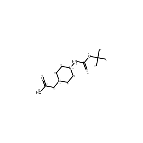 CC(C)(C)OC(=O)NN1CCN(CC(=O)O)CC1